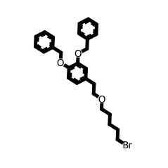 BrCCCCCOCCc1ccc(OCc2ccccc2)c(OCc2ccccc2)c1